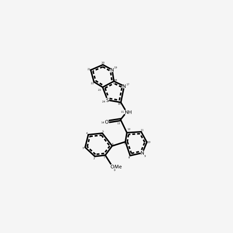 COc1ccccc1-c1cnccc1C(=O)Nc1nc2ncccc2s1